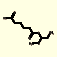 CCC(OC)OC(=O)CCCCC(=O)O